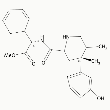 COC(=O)[C@@H](NC(=O)C1C[C@@](C)(c2cccc(O)c2)C(C)CN1)C1C=CC=CC1